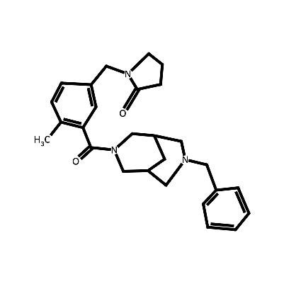 Cc1ccc(CN2CCCC2=O)cc1C(=O)N1CC2CC(CN(Cc3ccccc3)C2)C1